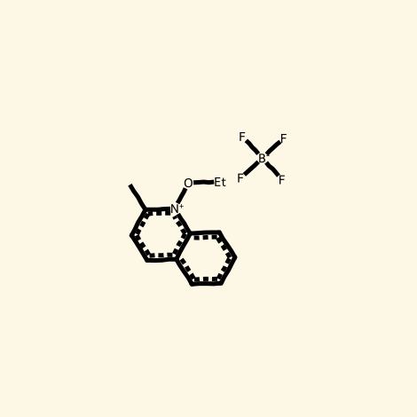 CCO[n+]1c(C)ccc2ccccc21.F[B-](F)(F)F